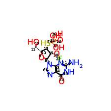 Nc1nc2c(ncn2[C@@H]2O[C@H](CO)[C@H]([SH]=P(O)(O)O)[C@@H]2OF)c(=O)[nH]1